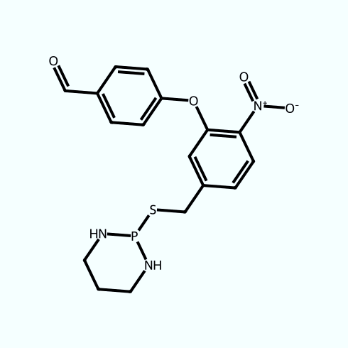 O=Cc1ccc(Oc2cc(CSP3NCCCN3)ccc2[N+](=O)[O-])cc1